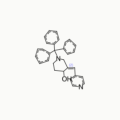 OC1CCN(C(c2ccccc2)(c2ccccc2)c2ccccc2)C/C1=C/c1ccncc1